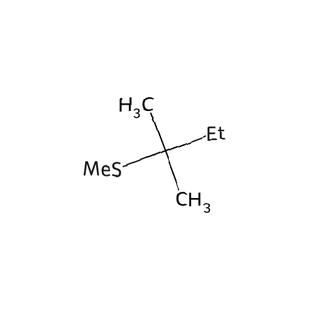 [CH2]SC(C)(C)CC